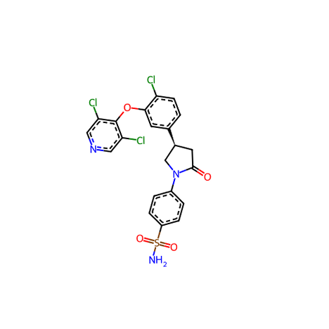 NS(=O)(=O)c1ccc(N2C[C@@H](c3ccc(Cl)c(Oc4c(Cl)cncc4Cl)c3)CC2=O)cc1